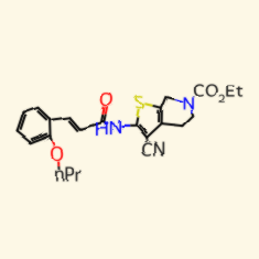 CCCOc1ccccc1/C=C/C(=O)Nc1sc2c(c1C#N)CCN(C(=O)OCC)C2